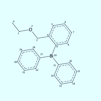 CCOCc1cccc[c]1[Bi]([c]1ccccc1)[c]1ccccc1